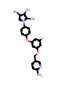 Cc1ccc(COc2cc(F)cc(Oc3ccc(-n4cc(C(C)C)c(N)c4C#N)cc3)c2)cn1